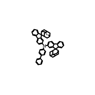 c1ccc(-c2ccc(N(c3ccc4c(c3)C3(c5ccccc5-4)C4CCC5CC(C4)CC3C5)c3ccc4c(c3)C3(c5ccccc5-4)C4CC5CC(C4)CC3C5)cc2)cc1